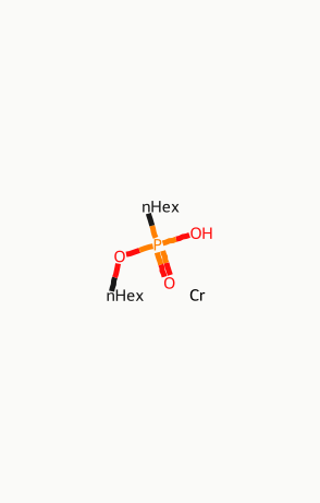 CCCCCCOP(=O)(O)CCCCCC.[Cr]